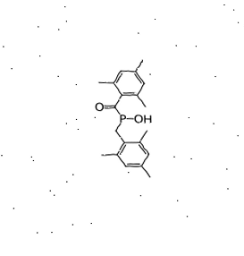 Cc1cc(C)c(CP(O)C(=O)c2c(C)cc(C)cc2C)c(C)c1